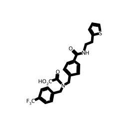 O=C(O)C(=O)N(Cc1ccc(C(=O)NCCc2cccs2)cc1)Cc1ccc(C(F)(F)F)cc1